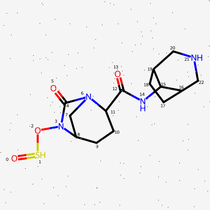 O=[SH]ON1C(=O)N2CC1CCC2C(=O)NC1C2CCC1CNC2